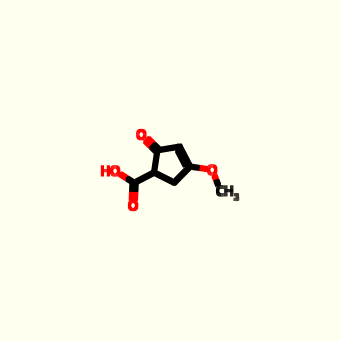 COC1=CC(=O)C(C(=O)O)C1